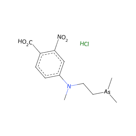 CN(CC[As](C)C)c1ccc(C(=O)O)c([N+](=O)[O-])c1.Cl